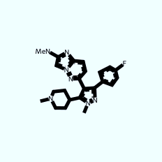 CNc1cn2nc(-c3c(-c4ccc(F)cc4)nn(C)c3C3CCN(C)CC3)ccc2n1